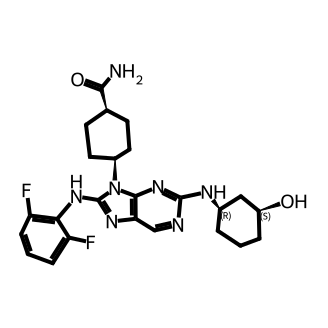 NC(=O)[C@H]1CC[C@@H](n2c(Nc3c(F)cccc3F)nc3cnc(N[C@@H]4CCC[C@H](O)C4)nc32)CC1